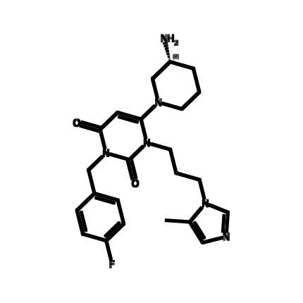 Cc1cncn1CCCn1c(N2CCC[C@@H](N)C2)cc(=O)n(Cc2ccc(F)cc2)c1=O